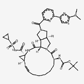 CN(C)c1nc(-c2cccc(C(=O)N3C[C@H]4CN5C(=O)[C@@H](NC(=O)OC(C)(C)C)CCCCC/C=C\[C@H]6C[C@@]6(C(=O)NS(=O)(=O)C6CC6)NC(=O)[C@@H]5[C@H]4C3)n2)cs1